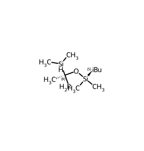 CC[C@H](C)[Si](C)(C)O[C@@](C)(P)[SiH](C)C